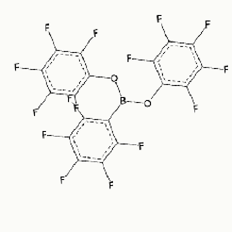 Fc1c(F)c(F)c(OB(Oc2c(F)c(F)c(F)c(F)c2F)c2c(F)c(F)c(F)c(F)c2F)c(F)c1F